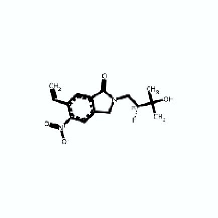 C=Cc1cc2c(cc1[N+](=O)[O-])CN(C[C@@H](F)C(C)(C)O)C2=O